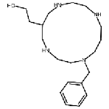 OCCC1CNCCNCCCN(Cc2ccccc2)CCNC1